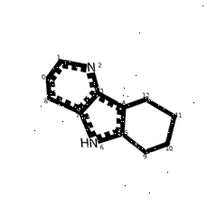 [c]1cnc2c3c([nH]c2c1)CCCC3